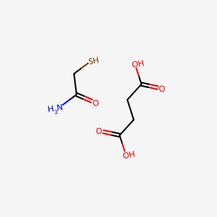 NC(=O)CS.O=C(O)CCC(=O)O